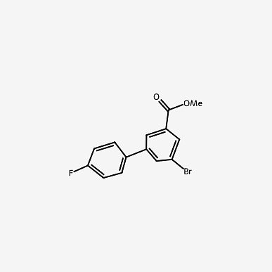 COC(=O)c1cc(Br)cc(-c2ccc(F)cc2)c1